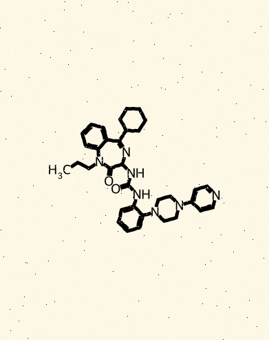 CCCN1C(=O)C(NC(=O)Nc2ccccc2N2CCN(c3ccncc3)CC2)N=C(C2CCCCC2)c2ccccc21